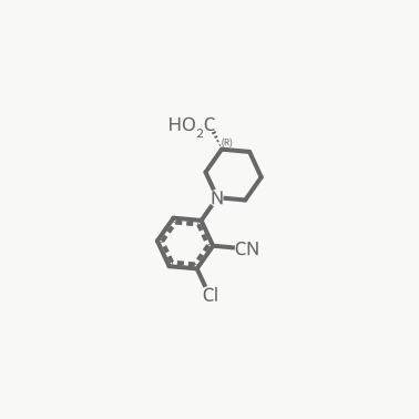 N#Cc1c(Cl)cccc1N1CCC[C@@H](C(=O)O)C1